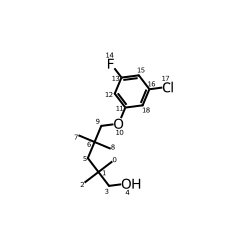 CC(C)(CO)CC(C)(C)COc1cc(F)cc(Cl)c1